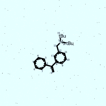 C=C(c1ccccc1)c1cccc(CN(C(C)(C)C)C(C)(C)C)c1